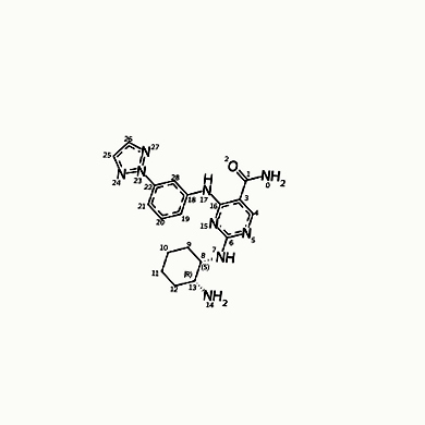 NC(=O)c1cnc(N[C@H]2CCCC[C@H]2N)nc1Nc1cccc(-n2nccn2)c1